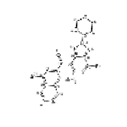 Nc1c(C(=O)c2ccc(F)c3nn(C4CCCCO4)cc23)cc(Br)c2cnccc12